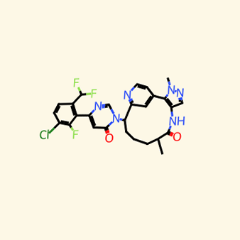 CC1CCCC(n2cnc(-c3c(C(F)F)ccc(Cl)c3F)cc2=O)c2cc(ccn2)-c2c(cnn2C)NC1=O